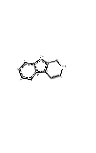 C1=Cc2c([nH]c3ccccc23)CO1